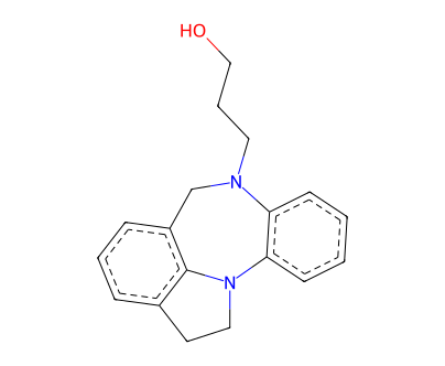 OCCCN1Cc2cccc3c2N(CC3)c2ccccc21